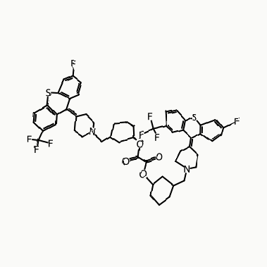 O=C(OC1CCCC(CN2CCC(=C3c4ccc(F)cc4Sc4ccc(C(F)(F)F)cc43)CC2)C1)C(=O)OC1CCCC(CN2CCC(=C3c4ccc(F)cc4Sc4ccc(C(F)(F)F)cc43)CC2)C1